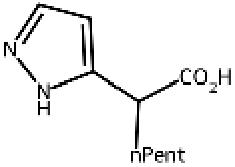 CCCCCC(C(=O)O)c1ccn[nH]1